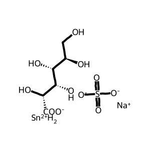 O=C([O-])[C@H](O)[C@@H](O)[C@H](O)[C@H](O)CO.O=S(=O)([O-])[O-].[Na+].[SnH2+2]